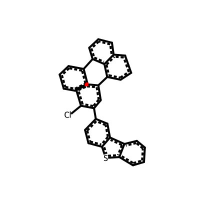 Clc1ccc(-c2cccc3cccc(-c4ccccc4)c23)cc1-c1ccc2sc3ccccc3c2c1